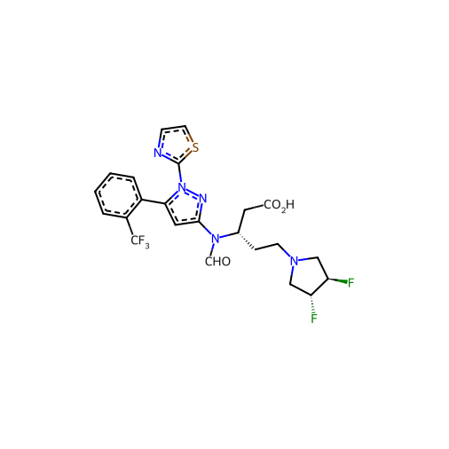 O=CN(c1cc(-c2ccccc2C(F)(F)F)n(-c2nccs2)n1)[C@@H](CCN1C[C@@H](F)[C@H](F)C1)CC(=O)O